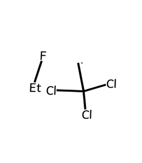 [CH2]C(Cl)(Cl)Cl.[CH2]CF